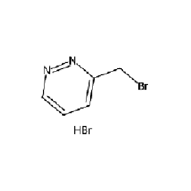 Br.BrCc1cccnn1